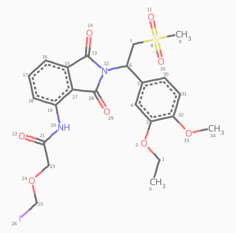 CCOc1cc(C(CS(C)(=O)=O)N2C(=O)c3cccc(NC(=O)COCI)c3C2=O)ccc1OC